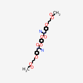 C=CC(=O)OCCCCOc1ccc(/C=C(\C#N)C(=O)Oc2ccc(OC(=O)/C(C#N)=C/c3ccc(OCCCCOC(=O)C=C)cc3)cc2)cc1